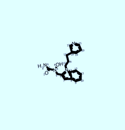 NC(=O)N(O)Cc1cc2ccccc2n1CCCc1cccnc1